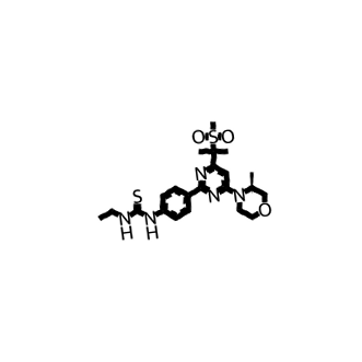 CCNC(=S)Nc1ccc(-c2nc(N3CCOC[C@@H]3C)cc(C(C)(C)S(C)(=O)=O)n2)cc1